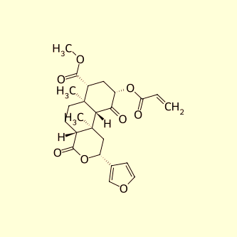 C=CC(=O)O[C@H]1C[C@@H](C(=O)OC)[C@]2(C)CC[C@H]3C(=O)O[C@@H](c4ccoc4)C[C@]3(C)[C@H]2C1=O